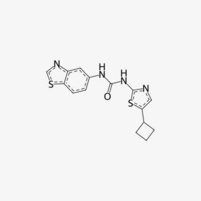 O=C(Nc1ccc2scnc2c1)Nc1ncc(C2CCC2)s1